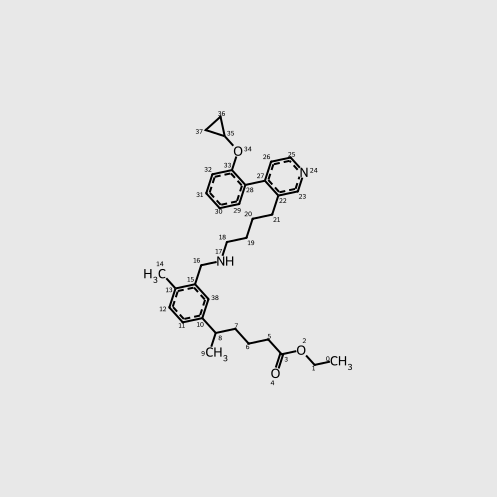 CCOC(=O)CCCC(C)c1ccc(C)c(CNCCCCc2cnccc2-c2ccccc2OC2CC2)c1